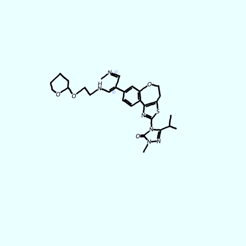 C/N=C\C(=C/NCCOC1CCCCO1)c1ccc2c(c1)OCCc1sc(-n3c(C(C)C)nn(C)c3=O)nc1-2